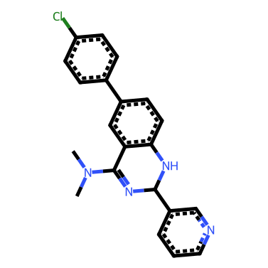 CN(C)C1=NC(c2cccnc2)Nc2ccc(-c3ccc(Cl)cc3)cc21